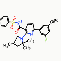 CC(C)COc1cc(F)cc(-c2ccc(C(=O)NS(=O)(=O)c3ccccc3)c(N3CC(C)CC3(C)C)n2)c1